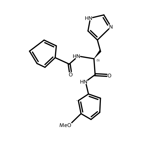 COc1[c]c(NC(=O)[C@H](Cc2c[nH]cn2)NC(=O)c2ccccc2)ccc1